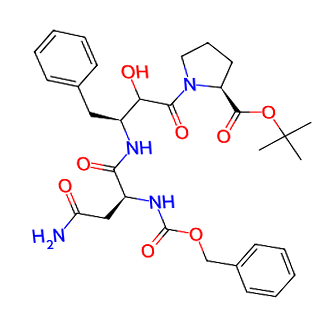 CC(C)(C)OC(=O)[C@@H]1CCCN1C(=O)C(O)[C@H](Cc1ccccc1)NC(=O)[C@H](CC(N)=O)NC(=O)OCc1ccccc1